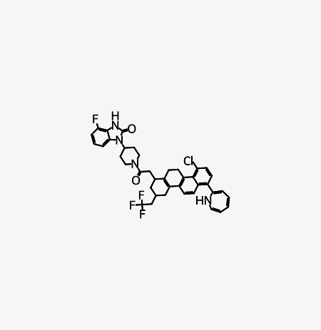 O=C(CC1CC(CC(F)(F)F)CC2=C1CCc1c2ccc2c(C3=CC=CC=CN3)ccc(Cl)c12)N1CCC(n2c(=O)[nH]c3c(F)cccc32)CC1